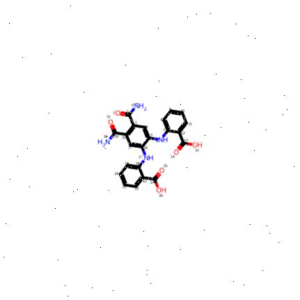 NC(=O)c1cc(Nc2ccccc2C(=O)O)c(Nc2ccccc2C(=O)O)cc1C(N)=O